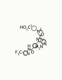 C[C@H]1CO[C@@H](c2nc(-c3ccc(C(=O)Nc4cc(C(F)(F)F)ccn4)cc3)c3c(N)nccn23)CN1[C@H]1CC[C@@](C)(C(=O)O)CC1